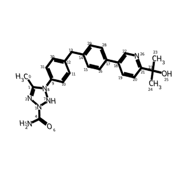 CC1=NN(C(N)=O)NN1c1ccc(Cc2ccc(-c3ccc(C(C)(C)O)nc3)cc2)cc1